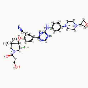 CC1(C)CN(C(=O)CCO)CC(F)C1Oc1ccc(-c2ncnc(Nc3ccc(N4CCN(C5COC5)CC4)cc3)n2)cc1C#N